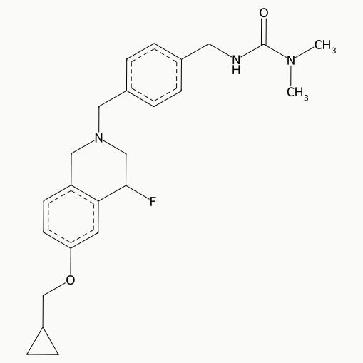 CN(C)C(=O)NCc1ccc(CN2Cc3ccc(OCC4CC4)cc3C(F)C2)cc1